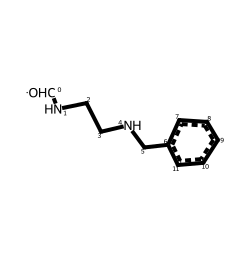 O=[C]NCCNCc1ccccc1